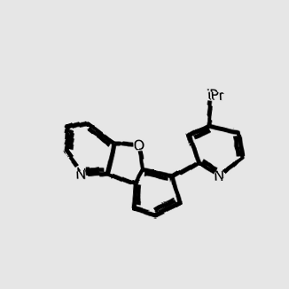 CC(C)c1ccnc(-c2cccc3c2oc2cccnc23)c1